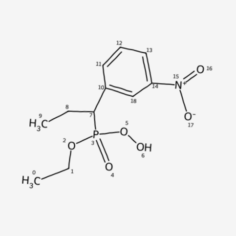 CCOP(=O)(OO)C(CC)c1cccc([N+](=O)[O-])c1